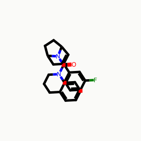 O=C(N1CCCc2ccccc21)N1C2C=C(c3cccc(F)c3)CC1CC2